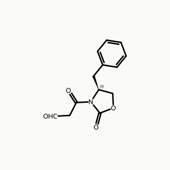 O=CCC(=O)N1C(=O)OC[C@@H]1Cc1ccccc1